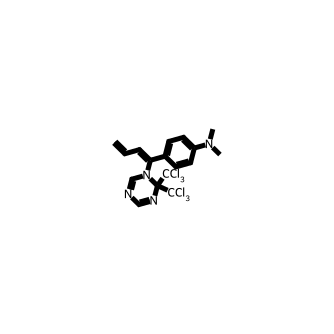 C=CC=C(c1ccc(N(C)C)cc1)N1C=NC=NC1(C(Cl)(Cl)Cl)C(Cl)(Cl)Cl